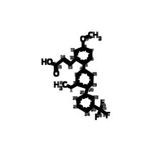 CCc1cc(-c2ccc(OC)cc2/C=C/C(=O)O)ccc1-c1cccc(C(F)(F)F)c1